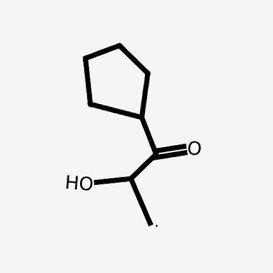 [CH2]C(O)C(=O)C1CCCC1